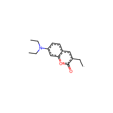 [CH2]Cc1cc2ccc(N(CC)CC)cc2oc1=O